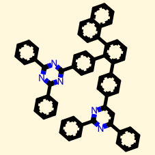 c1ccc(-c2cc(-c3ccc(-c4cccc(-c5cccc6ccccc56)c4-c4ccc(-c5nc(-c6ccccc6)nc(-c6ccccc6)n5)cc4)cc3)nc(-c3ccccc3)n2)cc1